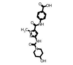 Cn1nc(NC(=O)N2CCC(O)CC2)cc1C(=O)Nc1ccc(C(=O)O)cc1